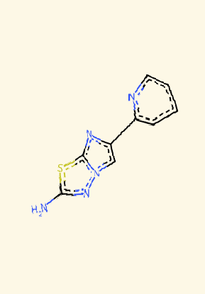 Nc1nn2cc(-c3ccccn3)nc2s1